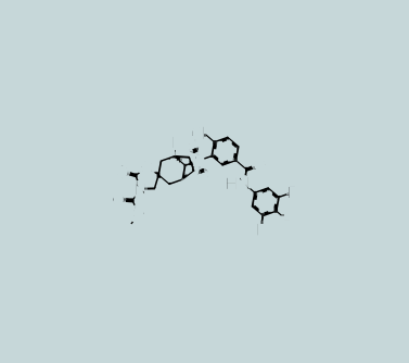 COC(=O)N1CC2(CC3CC[C@@H](C2)C3S(=O)(=O)c2cc(C(=O)Nc3cc(F)c(F)c(F)c3)ccc2Cl)OC1=O